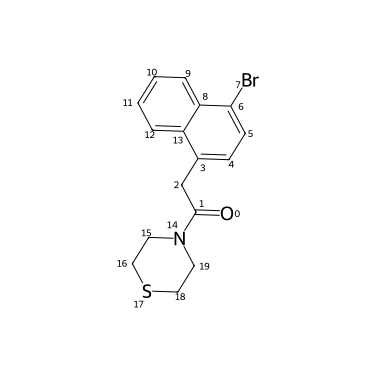 O=C(Cc1ccc(Br)c2ccccc12)N1CCSCC1